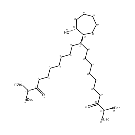 CCCCCCCCCCN(CCCCCCCCCC)C(=O)CCCCCCCN(CCCCCCCC(=O)N(CCCCCCCCCC)CCCCCCCCCC)[C@@H]1CCCCC[C@H]1O